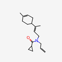 C=CCN(C/C=C(\C)C1CC=C(C)CC1)C(=O)C1CC1